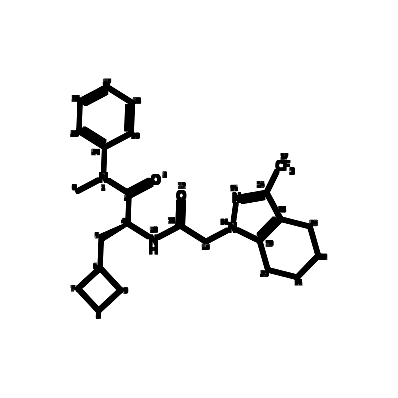 CN(C(=O)[C@H](CC1CCC1)NC(=O)Cn1nc(C(F)(F)F)c2c1CCCC2)c1ccccc1